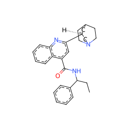 CCC(NC(=O)c1cc([C@H]2CC3CCN(CC3)C2)nc2ccccc12)c1ccccc1